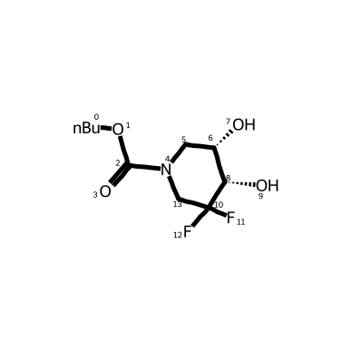 CCCCOC(=O)N1C[C@H](O)[C@H](O)C(F)(F)C1